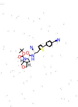 CC(C)(C)OC(=O)N1[C@H](C(=O)N[C@H](C#N)Cc2ccc(-c3ccc(C#N)cc3)s2)C[C@@H]2COC[C@@H]21